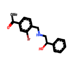 COC(=O)c1ccc(CNCC(O)c2ccccc2)c(Br)c1